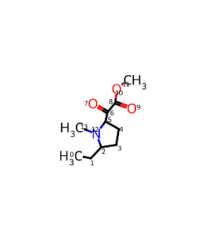 CCC1CCC(C(=O)C(=O)OC)N1C